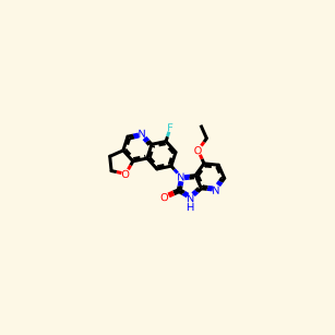 CCOc1ccnc2[nH]c(=O)n(-c3cc(F)c4ncc5c(c4c3)OCC5)c12